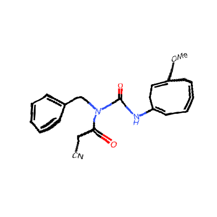 COc1cccc(NC(=O)N(Cc2ccccc2)C(=O)CC#N)c1